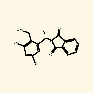 C[C@@H](c1cc(F)cc(Cl)c1CO)N1C(=O)c2ccccc2C1=O